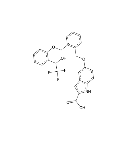 O=C(O)c1cc2cc(OCc3ccccc3COc3ccccc3C(O)C(F)(F)F)ccc2[nH]1